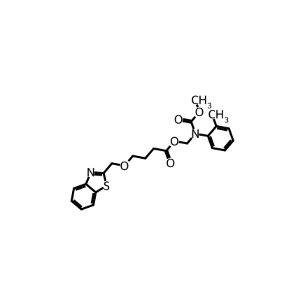 COC(=O)N(COC(=O)CCCOCc1nc2ccccc2s1)c1ccccc1C